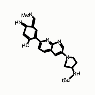 CN/C=C1/C=C(c2ccc3cc(N4CCC(NC(C)(C)C)C4)cnc3n2)C(O)=CC1=N